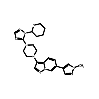 Cn1cc(-c2ccc3c(N4CCN(c5ncnn5C5CCCCO5)CC4)cnn3c2)cn1